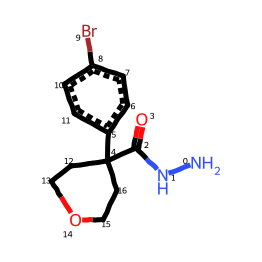 NNC(=O)C1(c2ccc(Br)cc2)CCOCC1